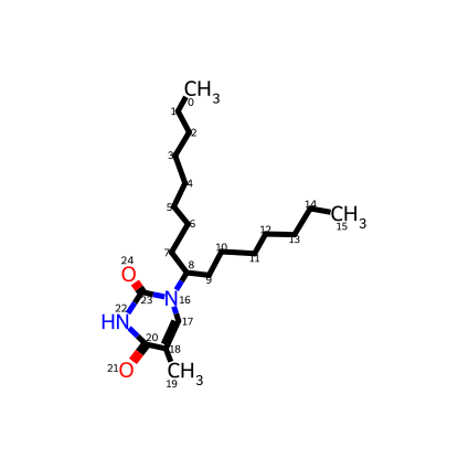 CCCCCCCCC(CCCCCCC)n1cc(C)c(=O)[nH]c1=O